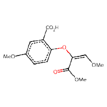 CO/C=C(/Oc1ccc(OC)cc1C(=O)O)C(=O)OC